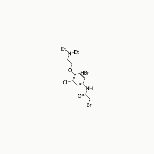 Br.CCN(CC)CCOc1ccc(NC(=O)CBr)cc1Cl